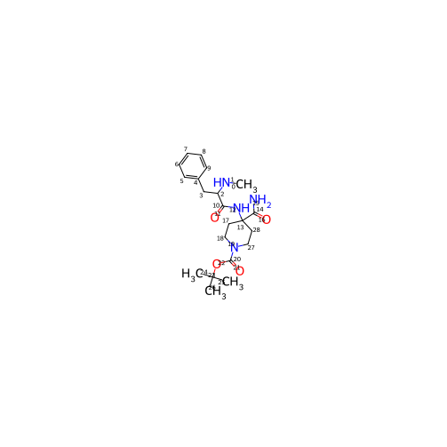 CNC(Cc1ccccc1)C(=O)NC1(C(N)=O)CCN(C(=O)OC(C)(C)C)CC1